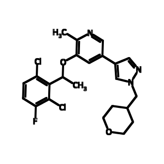 Cc1ncc(-c2cnn(CC3CCOCC3)c2)cc1OC(C)c1c(Cl)ccc(F)c1Cl